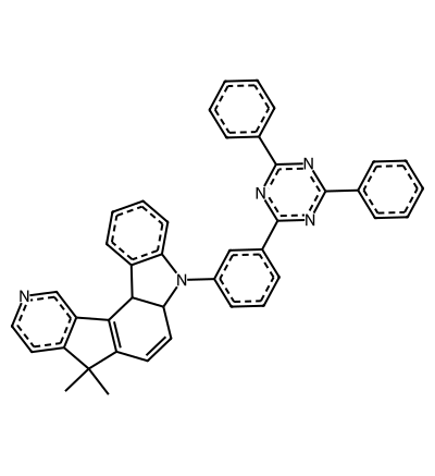 CC1(C)C2=C(c3cnccc31)C1c3ccccc3N(c3cccc(-c4nc(-c5ccccc5)nc(-c5ccccc5)n4)c3)C1C=C2